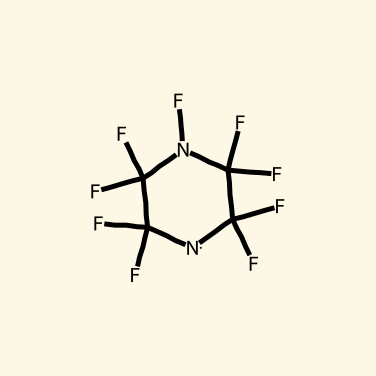 FN1C(F)(F)C(F)(F)[N]C(F)(F)C1(F)F